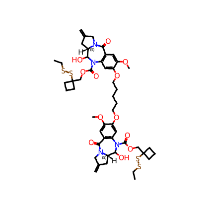 C=C1C[C@H]2C(O)N(C(=O)OCC3(SSCC)CCC3)c3cc(OCCCCCOc4cc5c(cc4OC)C(=O)N4CC(=C)C[C@H]4C(O)N5C(=O)OCC4(SSCC)CCC4)c(OC)cc3C(=O)N2C1